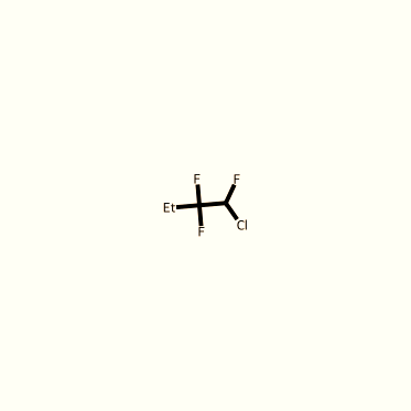 [CH2]CC(F)(F)[C](F)Cl